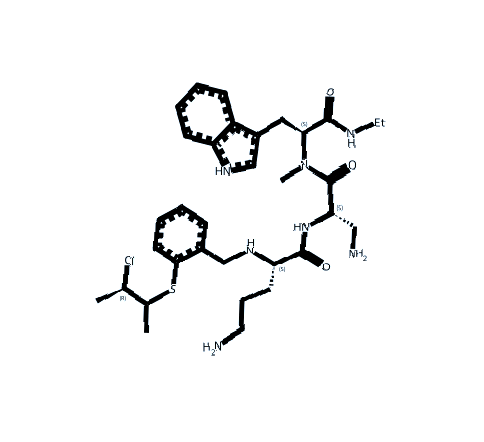 CCNC(=O)[C@H](Cc1c[nH]c2ccccc12)N(C)C(=O)[C@H](CN)NC(=O)[C@H](CCCN)NCc1ccccc1SC(C)[C@@H](C)Cl